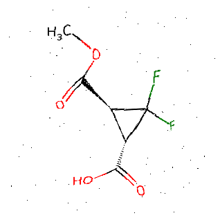 COC(=O)[C@@H]1[C@@H](C(=O)O)C1(F)F